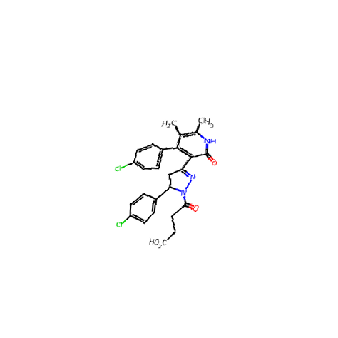 Cc1[nH]c(=O)c(C2=NN(C(=O)CCC(=O)O)C(c3ccc(Cl)cc3)C2)c(-c2ccc(Cl)cc2)c1C